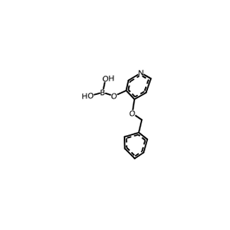 OB(O)Oc1cnccc1OCc1ccccc1